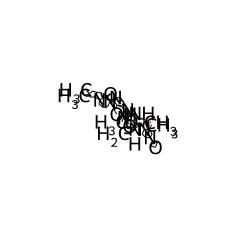 C=CC(=O)Nc1cc(Nc2nc(-c3ccnc(N4CCCn5c(cc6c5CC(C)(C)C6)C4=O)c3CO)cn(C)c2=O)cc(C)c1N1CCN(C2COC2)C[C@@H]1C